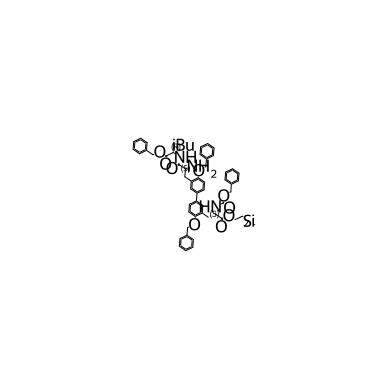 CC[C@@H](C)C(NC(=O)[C@@H](N)Cc1cc(-c2ccc(OCc3ccccc3)c(C[C@H](NC(=O)OCc3ccccc3)C(=O)OCC[Si](C)(C)C)c2)ccc1OCc1ccccc1)C(=O)OCc1ccccc1